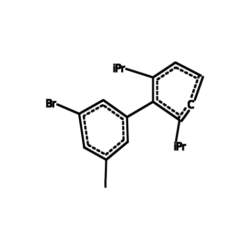 CC(C)c1cccc(C(C)C)c1-c1cc(Br)cc(I)c1